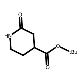 CC(C)(C)OC(=O)C1CCNC(=O)C1